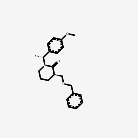 COc1ccc([C@@H](C)N2CCC[C@H](COCc3ccccc3)C2=O)cc1